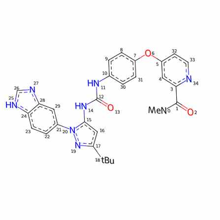 CNC(=O)c1cc(Oc2ccc(NC(=O)Nc3cc(C(C)(C)C)nn3-c3ccc4[nH]cnc4c3)cc2)ccn1